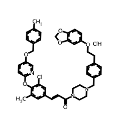 Cc1ccc(COc2ccc(Oc3c(C)cc(C=CC(=O)N4CCN(Cc5ccc(CCOc6ccc7c(c6)OCO7)cc5)CC4)cc3Cl)nc2)cc1.Cl